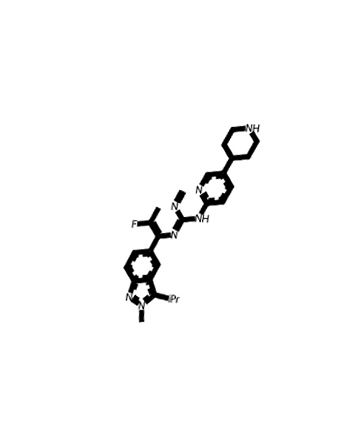 C=N/C(=N\C(=C(/C)F)c1ccc2nn(C)c(C(C)C)c2c1)Nc1ccc(C2CCNCC2)cn1